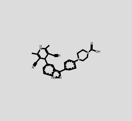 CC1=C(C#N)C(c2ccc3[nH]nc(-c4ccc(N5CCN(C(=O)O)CC5)cc4)c3c2)C(C#N)=C(C)N1